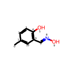 Cc1ccc(O)c(/C=N/O)c1